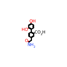 NC(=O)Cc1ccc(-c2ccc(O)cc2O)c(C(=O)O)c1